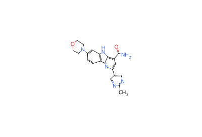 Cc1ncc(-c2cc(C(N)=O)c3[nH]c4cc(N5CCOCC5)ccc4c3n2)cn1